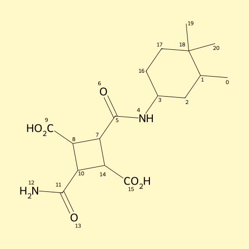 CC1CC(NC(=O)C2C(C(=O)O)C(C(N)=O)C2C(=O)O)CCC1(C)C